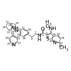 CNc1c(C(=O)NCCc2ccc(N3CC4CCC(C3)N4)c(-c3cccnc3)c2)sc2nc(C)ccc12